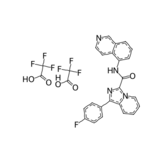 O=C(Nc1cccc2cnccc12)c1nc(-c2ccc(F)cc2)c2ccccn12.O=C(O)C(F)(F)F.O=C(O)C(F)(F)F